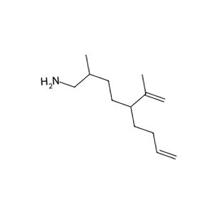 C=CCCC(CCC(C)CN)C(=C)C